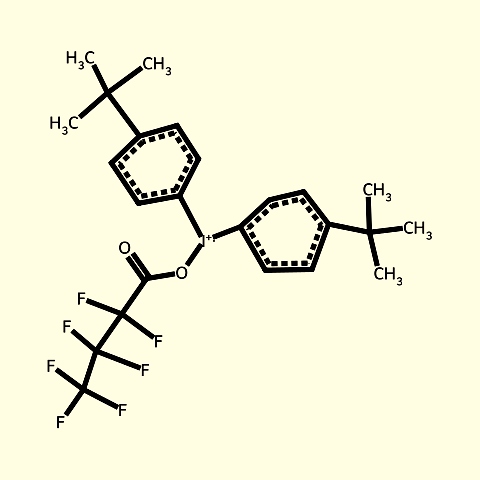 CC(C)(C)c1ccc([I+](OC(=O)C(F)(F)C(F)(F)C(F)(F)F)c2ccc(C(C)(C)C)cc2)cc1